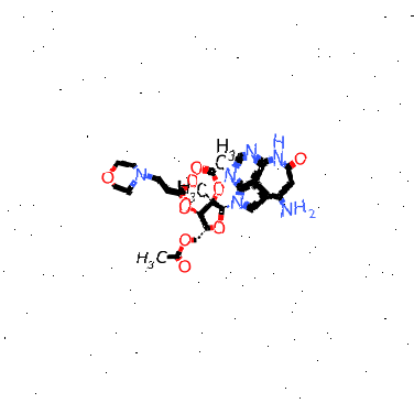 CC(=O)OC[C@H]1O[C@@H](n2cc3c4c(ncnc42)NC(=O)C=C3N)[C@](C)(OC(C)=O)[C@@H]1OC(=O)CCN1CCOCC1